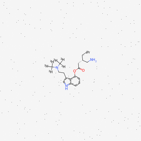 [2H]C([2H])([2H])N(CCc1c[nH]c2cccc(OC(=O)C[C@@H](CN)CC(C)C)c12)C([2H])([2H])[2H]